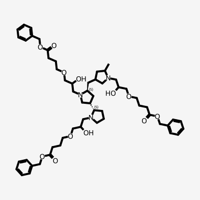 CC1CC(C[C@H]2CC([C@@H]3CCCN3CC(O)COCCCC(=O)OCc3ccccc3)CN2CC(O)COCCCC(=O)OCc2ccccc2)CN1CC(O)COCCCC(=O)OCc1ccccc1